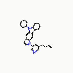 C=CCCc1cncc(-n2ccc3cc4c(cc32)c2ccccc2n4-c2ccccc2)c1